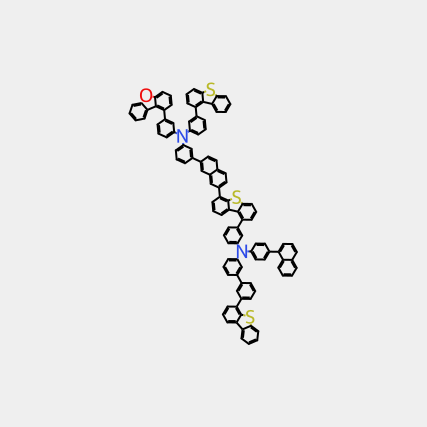 c1cc(-c2cccc(N(c3ccc(-c4cccc5ccccc45)cc3)c3cccc(-c4cccc5sc6c(-c7ccc8ccc(-c9cccc(N(c%10cccc(-c%11cccc%12oc%13ccccc%13c%11%12)c%10)c%10cccc(-c%11cccc%12sc%13ccccc%13c%11%12)c%10)c9)cc8c7)cccc6c45)c3)c2)cc(-c2cccc3c2sc2ccccc23)c1